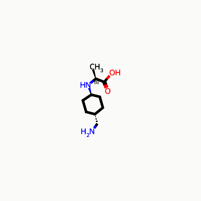 C[C@H](N[C@H]1CC[C@H](CN)CC1)C(=O)O